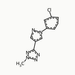 Cn1nnc(-c2cnn(-c3cccc(Cl)c3)c2)n1